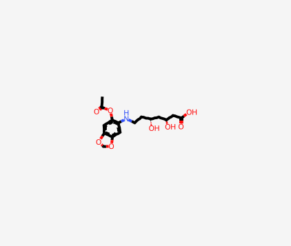 CC(=O)Oc1cc2c(cc1NCC[C@@H](O)C[C@H](O)CC(=O)O)OCO2